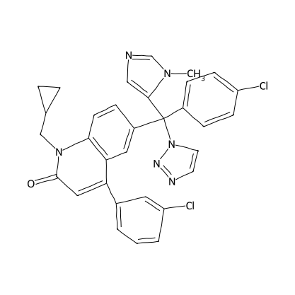 Cn1cncc1C(c1ccc(Cl)cc1)(c1ccc2c(c1)c(-c1cccc(Cl)c1)cc(=O)n2CC1CC1)n1ccnn1